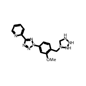 COc1cc(-n2nnc(-c3ccccn3)n2)ccc1CN1CNNN1